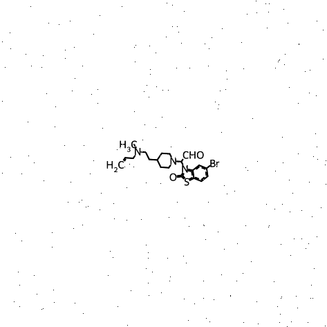 C=CCN(C)CCC1CCN(C(C=O)n2c(=O)sc3ccc(Br)cc32)CC1